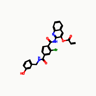 C=CC(=O)Oc1cc2ccccc2nc1NC(=O)c1ccc(C(=O)NCc2cccc(O)c2)cc1Br